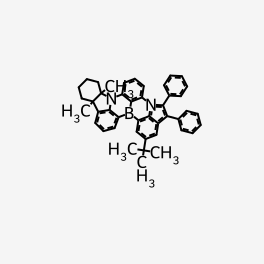 CC(C)(C)c1cc2c3c(c1)c(-c1ccccc1)c(-c1ccccc1)n3-c1cccc3c1B2c1cccc2c1N3C1(C)CCCCC21C